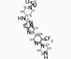 CS(=O)(=O)N1CCC(Nc2nn3cc(-c4cnc(N5CCNCC5)c(C(F)(F)F)c4)nc3s2)CC1